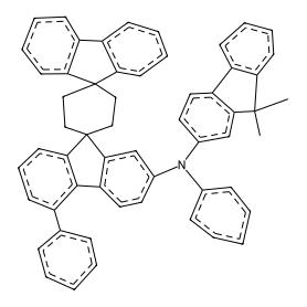 CC1(C)c2ccccc2-c2ccc(N(c3ccccc3)c3ccc4c(c3)C3(CCC5(CC3)c3ccccc3-c3ccccc35)c3cccc(-c5ccccc5)c3-4)cc21